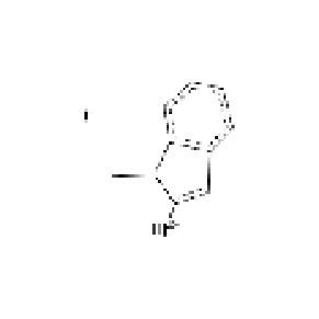 CC1[C]([Hf+2])=Cc2ccccc21.[I-].[I-]